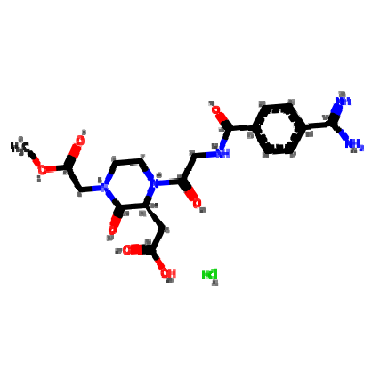 COC(=O)CN1CCN(C(=O)CNC(=O)c2ccc(C(=N)N)cc2)[C@@H](CC(=O)O)C1=O.Cl